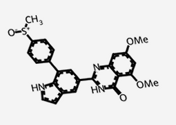 COc1cc(OC)c2c(=O)[nH]c(-c3cc(-c4ccc([S+](C)[O-])cc4)c4[nH]ccc4c3)nc2c1